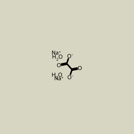 O.O.O=C([O-])C(=O)[O-].[Na+].[Na+]